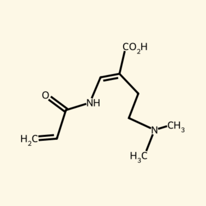 C=CC(=O)NC=C(CCN(C)C)C(=O)O